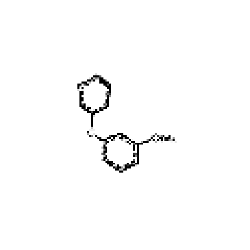 COc1[c]ccc(Oc2cccnc2)c1